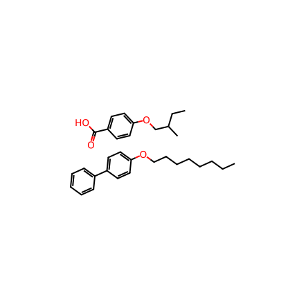 CCC(C)COc1ccc(C(=O)O)cc1.CCCCCCCCOc1ccc(-c2ccccc2)cc1